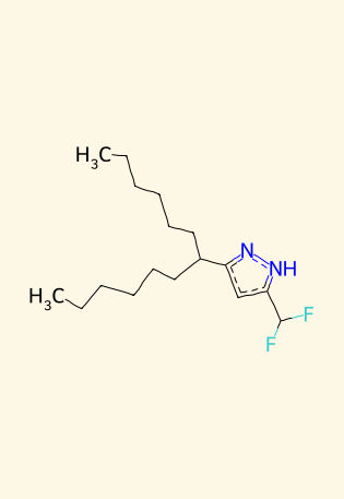 CCCCCCC(CCCCCC)c1cc(C(F)F)[nH]n1